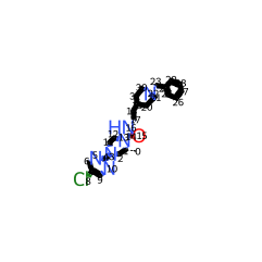 C[C@@H]1CN(c2ncc(Cl)cn2)CCN1C(=O)NCCC1CCN(Cc2ccccc2)CC1